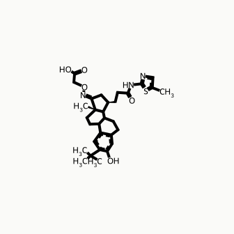 Cc1cnc(NC(=O)CC[C@@H]2C/C(=N\OCC(=O)O)[C@@]3(C)CCC4c5cc(C(C)(C)C)c(O)cc5CCC4C23)s1